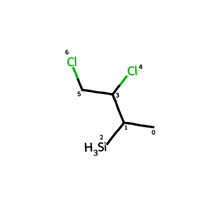 CC([SiH3])C(Cl)CCl